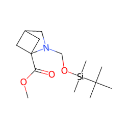 COC(=O)C12CC(CN1CO[Si](C)(C)C(C)(C)C)C2